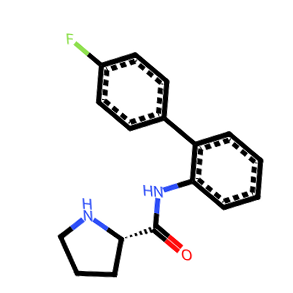 O=C(Nc1ccccc1-c1ccc(F)cc1)[C@@H]1CCCN1